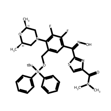 C[C@@H]1CN(c2c(CO[Si](c3ccccc3)(c3ccccc3)C(C)(C)C)cc(C(=NO)c3nc(C(=O)N(C)C)cs3)c(F)c2F)C[C@H](C)O1